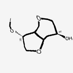 O[C@@H]1COC2C1OC[C@@H]2OI